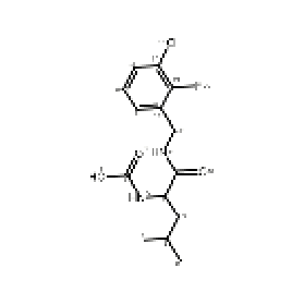 CC(C)CC(NC(=O)O)C(=O)NCc1cccc(Cl)c1F